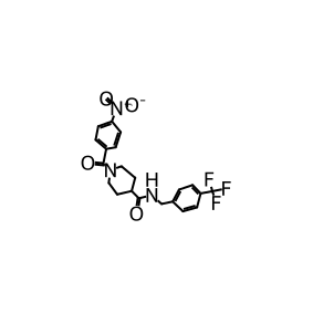 O=C(NCc1ccc(C(F)(F)F)cc1)C1CCN(C(=O)c2ccc([N+](=O)[O-])cc2)CC1